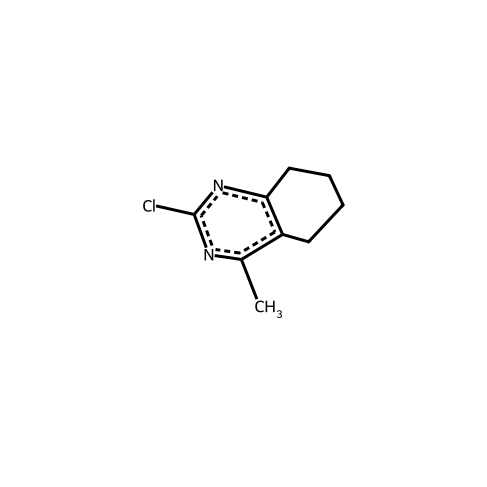 Cc1nc(Cl)nc2c1CCCC2